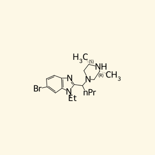 CCCC(c1nc2ccc(Br)cc2n1CC)N1C[C@@H](C)N[C@@H](C)C1